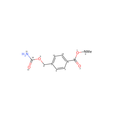 CNOC(=O)c1ccc(COC(N)=O)cc1